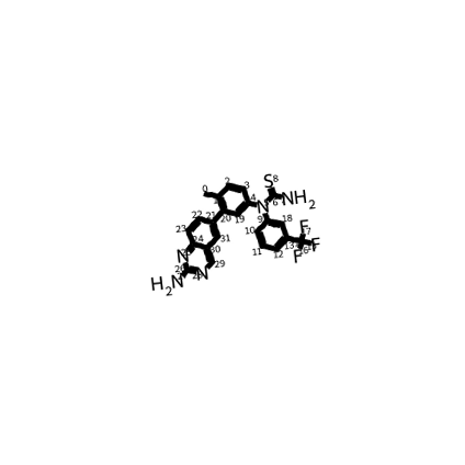 Cc1ccc(N(C(N)=S)c2cccc(C(F)(F)F)c2)cc1-c1ccc2nc(N)ncc2c1